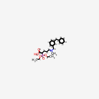 CCOP(=O)(OCC)C(CCCN(C)Cc1cccc(Cc2ccccc2)c1)C(=O)O